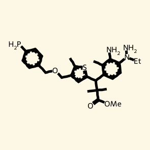 CCN(N)c1ccc(C(c2cc(COCc3ccc(P)cc3)c(C)s2)C(C)(C)C(=O)OC)c(C)c1N